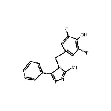 Oc1c(F)cc(Cn2c(S)nnc2-c2ccccc2)cc1F